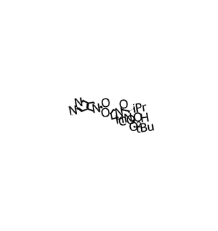 CC(C)[C@H](NC(=O)OC(C)(C)C)C(=O)N1C[C@H](OC(=O)N2Cc3cnc(N(C)C)cc3C2)C[C@H]1C(=O)O